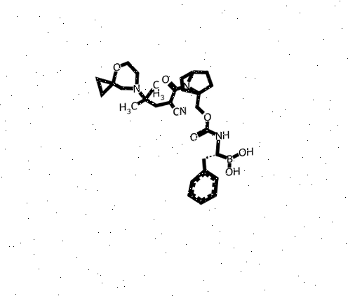 CC(C)(CC(C#N)C(=O)N1C2CCC1(COC(=O)N[C@@H](Cc1ccccc1)B(O)O)CC2)N1CCOC2(CC2)C1